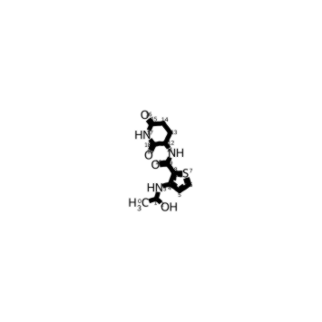 CC(O)Nc1ccsc1C(=O)NC1CCC(=O)NC1=O